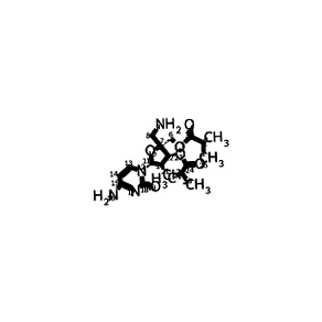 CC(C)C(=O)OC[C@@]1(CN)O[C@@H](n2ccc(N)nc2=O)[C@@H](C)[C@@H]1OC(=O)C(C)C